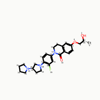 CC[C@@H](O)COc1ccc2c(c1)CCN(c1ccc(N3CC[C@@H](N4CCCC4)C3)c(F)c1)C2=O